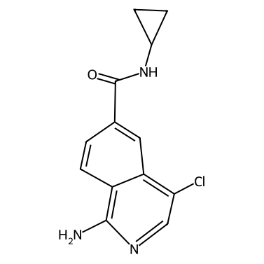 Nc1ncc(Cl)c2cc(C(=O)NC3CC3)ccc12